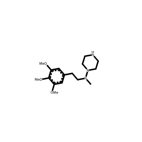 COc1cc(CCN(C)N2CCNCC2)cc(OC)c1OC